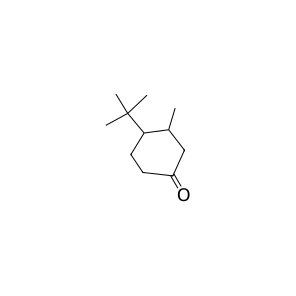 CC1CC(=O)CCC1C(C)(C)C